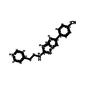 N#Cc1ccc(-c2cn3nc(NCCc4ccncc4)sc3n2)cc1